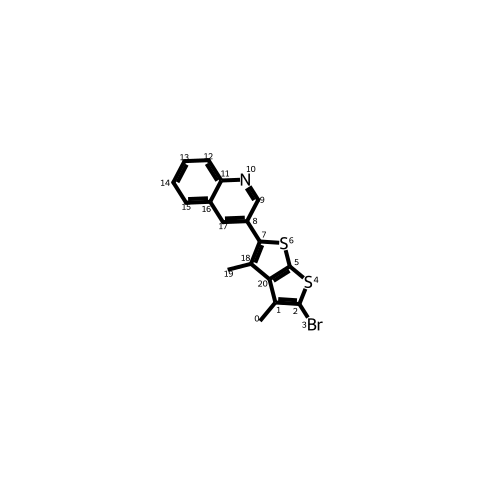 Cc1c(Br)sc2sc(-c3cnc4ccccc4c3)c(C)c12